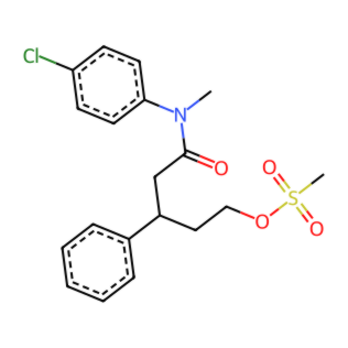 CN(C(=O)CC(CCOS(C)(=O)=O)c1ccccc1)c1ccc(Cl)cc1